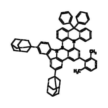 Cc1cccc(C)c1-c1cc2c3c(c1)N1c4ccccc4C(c4ccccc4)(c4ccccc4)c4cccc(c41)B3n1c3ccc(C45CC6CC(CC(C6)C4)C5)cc3c3cc(C45CC6CC(CC(C6)C4)C5)cc-2c31